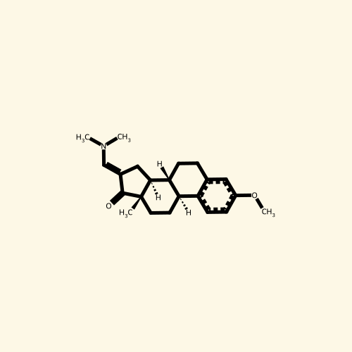 COc1ccc2c(c1)CC[C@@H]1[C@@H]2CC[C@]2(C)C(=O)C(=CN(C)C)C[C@@H]12